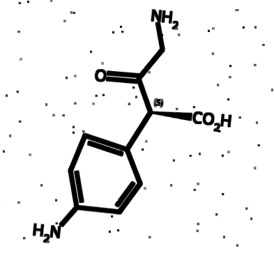 NCC(=O)[C@@H](C(=O)O)c1ccc(N)cc1